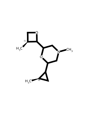 C[C@@H]1CC1C1CN(C)CC(C2OC[C@@H]2C)O1